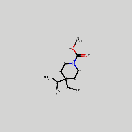 CCOC(=O)C(C#N)C1(CC(C)C)CCN(C(=O)OC(C)(C)C)CC1